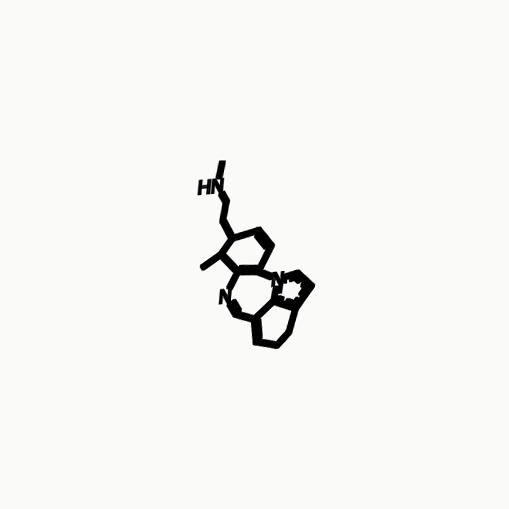 CNCCC1C=CC2=C(N=CC3=CCCc4ccn2c43)C1C